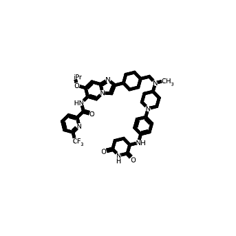 CC(C)Oc1cc2nc(C3CCC(CN(C)C4CCN(c5ccc(NC6CCC(=O)NC6=O)cc5)CC4)CC3)cn2cc1NC(=O)c1cccc(C(F)(F)F)n1